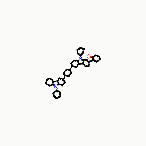 c1ccc(-n2c3ccccc3c3cc(-c4ccc(-c5ccc6c(c5)c5ccc7c8ccccc8oc7c5n6-c5ccccc5)cc4)ccc32)cc1